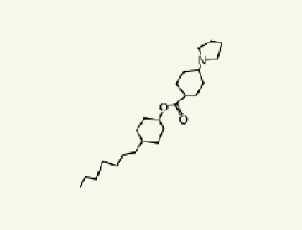 CCCCCCCC1CCC(OC(=O)C2CCC(N3CCCC3)CC2)CC1